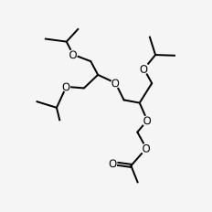 CC(=O)OCOC(COC(C)C)COC(COC(C)C)COC(C)C